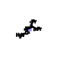 CCC/C(=N\ON)C(C)C